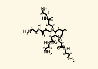 CC(CCN(CCC(=O)NCCN)CCC(=O)NCCN)CN(CCC(=O)NCCN)CCC(=O)NCCN